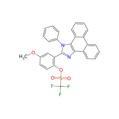 COc1ccc(OS(=O)(=O)C(F)(F)F)c(-c2nc3c4ccccc4c4ccccc4c3n2-c2ccccc2)c1